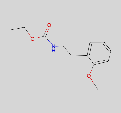 CCOC(=O)NCCc1ccccc1OC